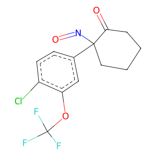 O=NC1(c2ccc(Cl)c(OC(F)(F)F)c2)CCCCC1=O